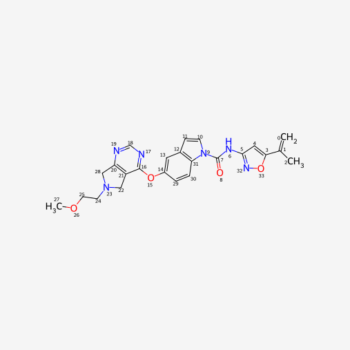 C=C(C)c1cc(NC(=O)n2ccc3cc(Oc4ncnc5c4CN(CCOC)C5)ccc32)no1